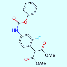 COC(=O)C(C(=O)OC)c1ccc(NC(=O)Oc2ccccc2)cc1F